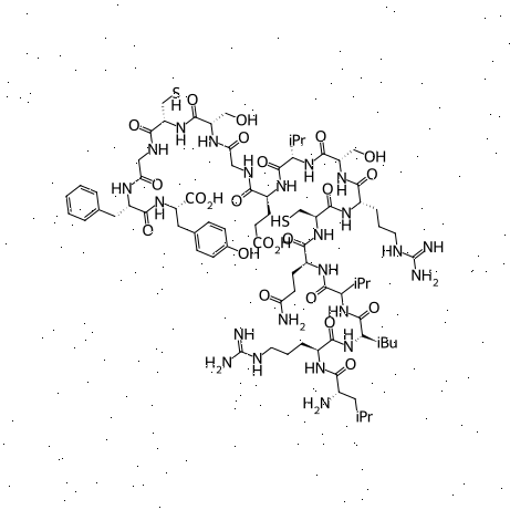 CC[C@H](C)[C@H](NC(=O)[C@H](CCCNC(=N)N)NC(=O)[C@@H](N)CC(C)C)C(=O)NC(C(=O)N[C@@H](CCC(N)=O)C(=O)N[C@@H](CS)C(=O)N[C@@H](CCCNC(=N)N)C(=O)N[C@@H](CO)C(=O)N[C@H](C(=O)N[C@@H](CCC(=O)O)C(=O)NCC(=O)N[C@@H](CO)C(=O)N[C@@H](CS)C(=O)NCC(=O)N[C@@H](Cc1ccccc1)C(=O)N[C@@H](Cc1ccc(O)cc1)C(=O)O)C(C)C)C(C)C